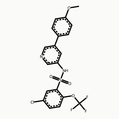 COc1ccc(-c2cncc(NS(=O)(=O)c3cc(Cl)ccc3OC(F)(F)F)c2)cc1